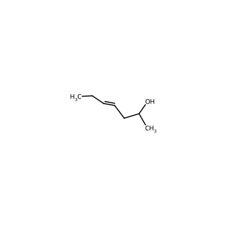 CCC=CCC(C)O